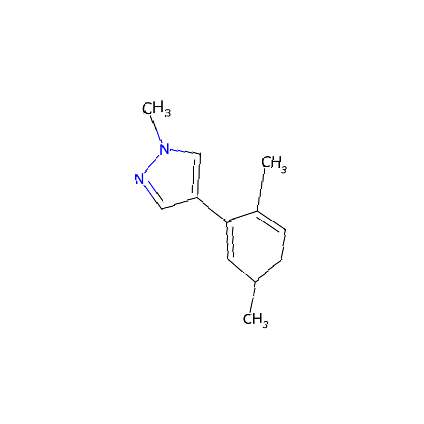 CC1=CCC(C)C=C1c1cnn(C)c1